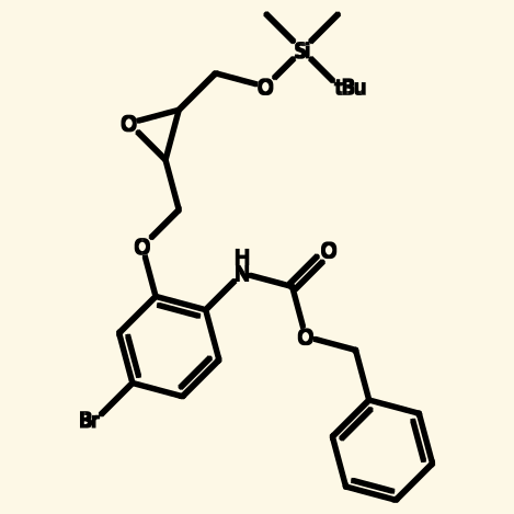 CC(C)(C)[Si](C)(C)OCC1OC1COc1cc(Br)ccc1NC(=O)OCc1ccccc1